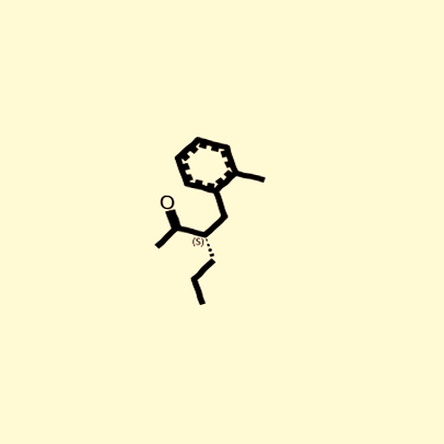 CCC[C@@H](Cc1ccccc1C)C(C)=O